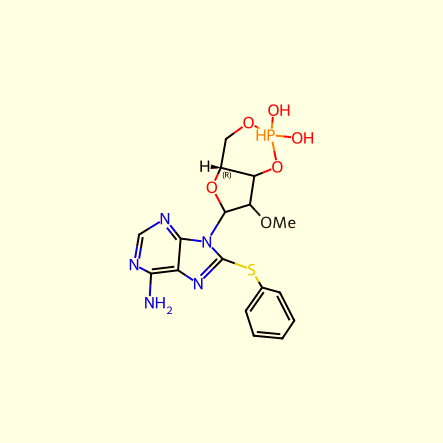 COC1C2O[PH](O)(O)OC[C@H]2OC1n1c(Sc2ccccc2)nc2c(N)ncnc21